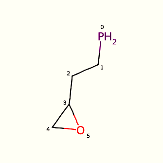 PCCC1CO1